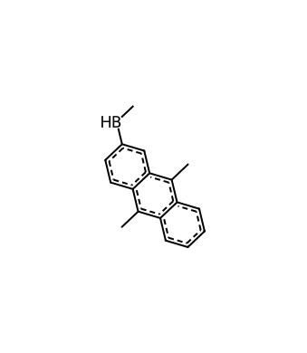 CBc1ccc2c(C)c3ccccc3c(C)c2c1